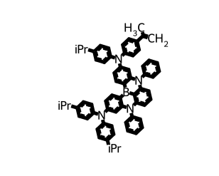 C=C(C)c1ccc(N(c2ccc(C(C)C)cc2)c2ccc3c(c2)N(c2ccccc2)c2cccc4c2B3c2ccc(N(c3ccc(C(C)C)cc3)c3ccc(C(C)C)cc3)cc2N4c2ccccc2)cc1